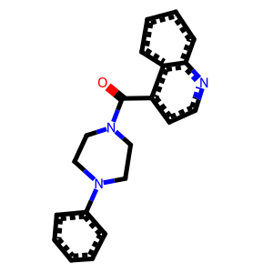 O=C(c1ccnc2ccccc12)N1CCN(c2ccccc2)CC1